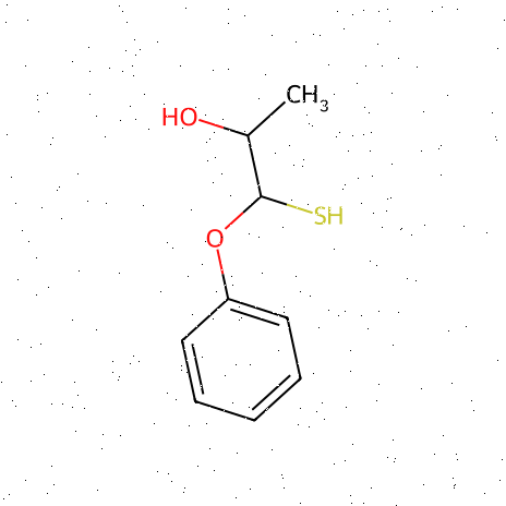 CC(O)C(S)Oc1ccccc1